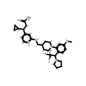 COc1ccc(C(N2CCCC2)C(F)(F)F)c(N2CCC(COc3cc(C(CC(=O)O)C4CC4)ccn3)CC2)c1